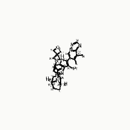 Cc1c(-c2[nH]c3ccc(N4[C@@H]5CC[C@H]4CN(C(=O)CN4CC6(COC6)C4)C5)nc3c2C(C)C)cn2ncnc2c1C